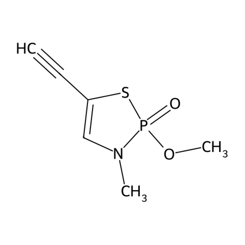 C#CC1=CN(C)P(=O)(OC)S1